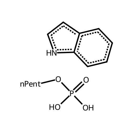 CCCCCOP(=O)(O)O.c1ccc2[nH]ccc2c1